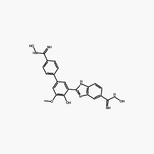 COc1cc(-c2ccc(C(=N)NO)cc2)cc(-c2nc3cc(C(=N)NO)ccc3[nH]2)c1O